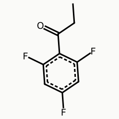 CCC(=O)c1c(F)cc(F)cc1F